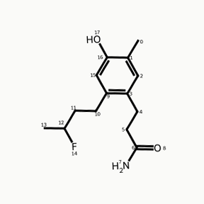 Cc1cc(CCC(N)=O)c(CCC(C)F)cc1O